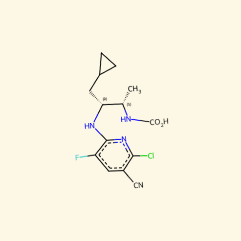 C[C@H](NC(=O)O)[C@@H](CC1CC1)Nc1nc(Cl)c(C#N)cc1F